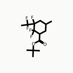 CC1CC(C(=O)OC(C)(C)C)C(F)(F)C(F)(C(C)(F)F)C1